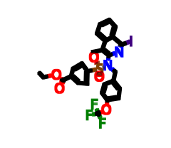 CCOC(=O)c1ccc(S(=O)(=O)N(Cc2ccc(OC(F)(F)F)cc2)c2nc(I)c3ccccc3c2C)cc1